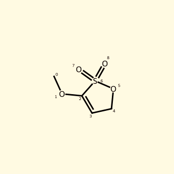 COC1=CCOS1(=O)=O